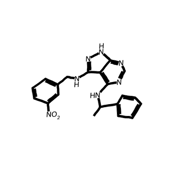 CC(Nc1ncnc2[nH]nc(NCc3cccc([N+](=O)[O-])c3)c12)c1ccccc1